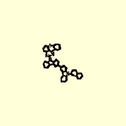 c1ccc2c(c1)Sc1cccc3nc(-n4c5ccccc5c5cc(-c6ccc7c(c6)c6ccccc6n7-c6ccc7ccccc7c6)ccc54)nc-2c13